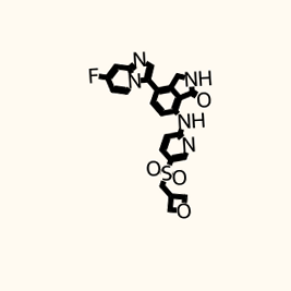 O=C1NCc2c(-c3cnc4cc(F)ccn34)ccc(Nc3ccc(S(=O)(=O)CC4COC4)cn3)c21